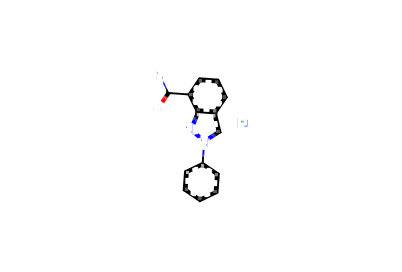 Cl.N.NC(=O)c1cccc2cn(-c3ccccc3)nc12